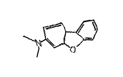 CN(C)C1=CC2Oc3ccccc3C2C=C1